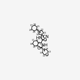 N#CC1(NC(=O)C(NC(=O)N2CCOCC2)C2CCCCC2)CCN(C2CCCCC2)C1